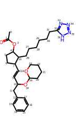 CC(=O)OC1CCC(C=CC(Cc2ccccc2)OC2CCCCO2)C1CCCCCCc1nnn[nH]1